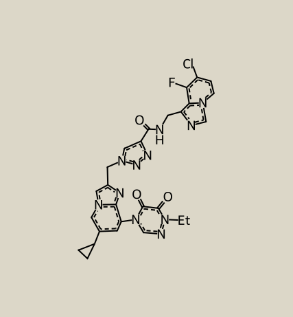 CCn1ncn(-c2cc(C3CC3)cn3cc(Cn4cc(C(=O)NCc5ncn6ccc(Cl)c(F)c56)nn4)nc23)c(=O)c1=O